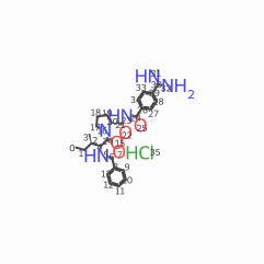 CC[C@@H](C)[C@@H](NC(=O)c1ccccc1)C(=O)N1CCC[C@H]1C(=O)NC(=O)c1ccc(C(=N)N)cc1.Cl